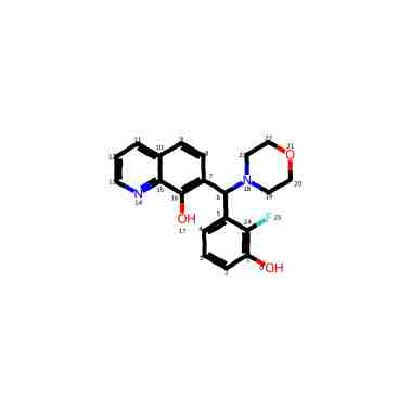 Oc1cccc(C(c2ccc3cccnc3c2O)N2CCOCC2)c1F